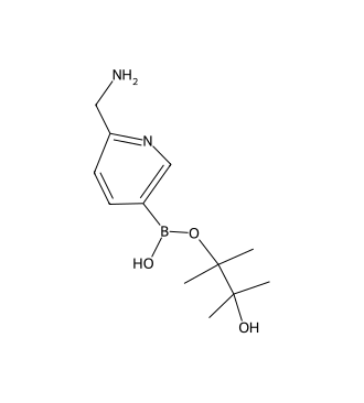 CC(C)(O)C(C)(C)OB(O)c1ccc(CN)nc1